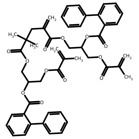 C=C(C)C(=O)OCC(COC(=O)C(=C)CC(C)(C)C(=O)OCC(COC(=O)C(=C)C)OC(=O)c1ccccc1-c1ccccc1)OC(=O)c1ccccc1-c1ccccc1